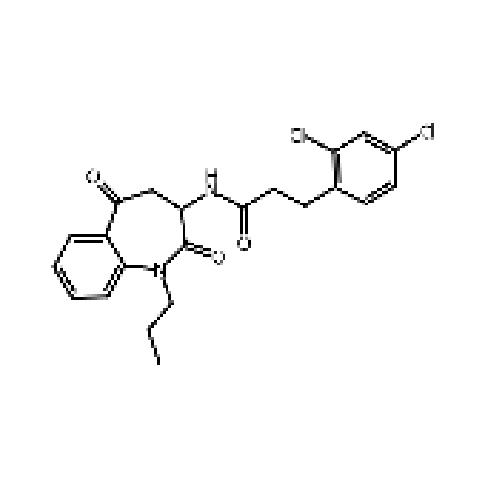 CCCN1C(=O)C(NC(=O)CCc2ccc(Cl)cc2Cl)CC(=O)c2ccccc21